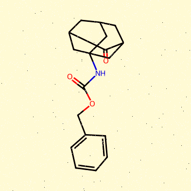 O=C(NC12CC3CC(C1)C(=O)C(C3)C2)OCc1ccccc1